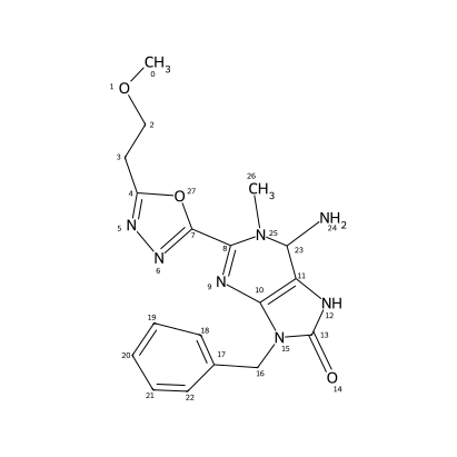 COCCc1nnc(C2=Nc3c([nH]c(=O)n3Cc3ccccc3)C(N)N2C)o1